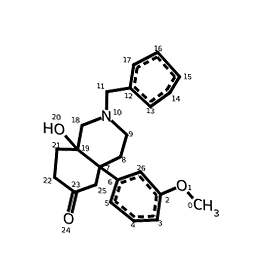 COc1cccc(C23CCN(Cc4ccccc4)CC2(O)CCC(=O)C3)c1